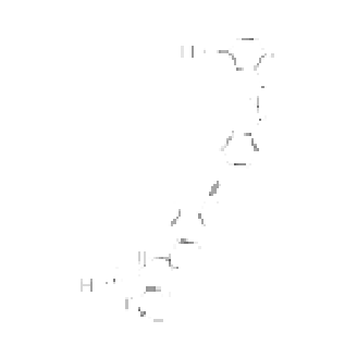 Cc1cccc(CNCc2ccc(C#Cc3ccc(C(=O)N[C@@H](CN)C(=O)NO)cc3)cc2)c1